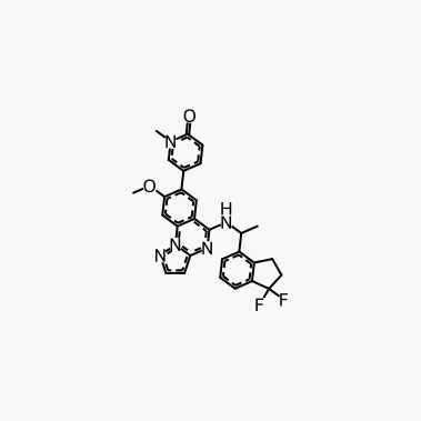 COc1cc2c(cc1-c1ccc(=O)n(C)c1)c(NC(C)c1cccc3c1CCC3(F)F)nc1ccnn12